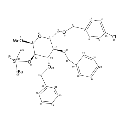 CO[C@H]1O[C@H](COCc2ccc(Cl)cc2)[C@@H](OCc2ccccc2)[C@H](OCc2ccccc2)[C@H]1O[Si](C)(C)C(C)(C)C